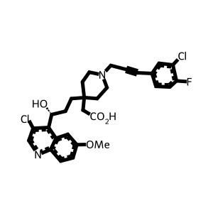 COc1ccc2ncc(Cl)c([C@H](O)CCC3(CC(=O)O)CCN(CC#Cc4ccc(F)c(Cl)c4)CC3)c2c1